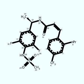 CCCc1cc(C(F)(F)F)ccc1/C=C\C(=O)N[C@H](C)c1cc(F)c(NS(C)(=O)=O)c(F)c1